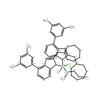 Cc1cc(C)cc(-c2cccc3c2C=C(CC2CCCCCC2)[CH]3[Zr]([Cl])([Cl])([CH]2C(CC3CCCCCC3)=Cc3c(-c4cc(C)cc(C)c4)cccc32)[SiH](C)CCC(F)(F)F)c1